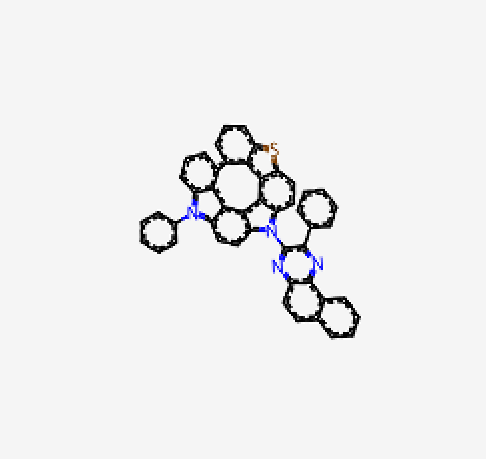 c1ccc(-c2nc3c(ccc4ccccc43)nc2-n2c3ccc4sc5cccc6c7cccc8c7c7c(c3c4c56)c2ccc7n8-c2ccccc2)cc1